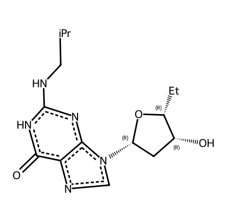 CC[C@H]1O[C@@H](n2cnc3c(=O)[nH]c(NCC(C)C)nc32)C[C@H]1O